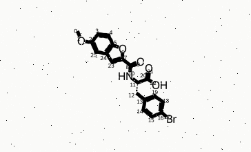 COc1ccc2oc(C(=O)N[C@@H](Cc3ccc(Br)cc3)C(=O)O)cc2c1